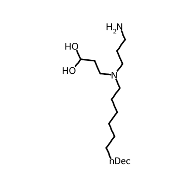 CCCCCCCCCCCCCCCCN(CCCN)CCC(O)O